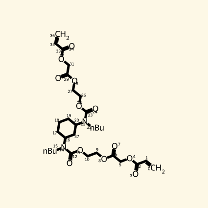 C=CC(=O)OCC(=O)OCCOC(=O)N(CCCC)C1CCCC(N(CCCC)C(=O)OCCOC(=O)COC(=O)C=C)C1